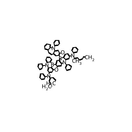 C=C/C=C\C=C(/C)N(c1ccccc1)c1cc2c3c(c1)N(c1ccccc1)c1cc4c(cc1B3c1cc3c(cc1O2)N(c1ccccc1)c1ccccc1C=C3)B1c2ccccc2N(c2ccccc2)c2cc(N(C(/C=C\C)=C/C=C)c3ccccc3)cc(c21)O4